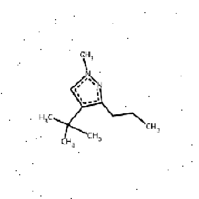 CCCc1nn(C)cc1C(C)(C)C